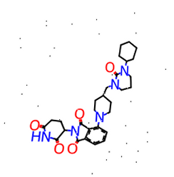 O=C1CCC(N2C(=O)c3cccc(N4CCC(CN5CCCN(C6CCCCC6)C5=O)CC4)c3C2=O)C(=O)N1